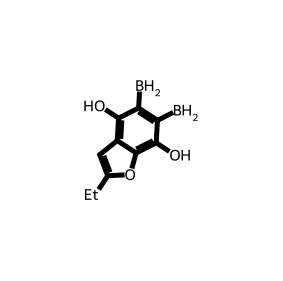 Bc1c(B)c(O)c2oc(CC)cc2c1O